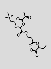 CCC(OC(=O)CCOC(=O)C(OCC[N+](C)(C)C)OC(=O)C(C)=O)C(=O)[O-]